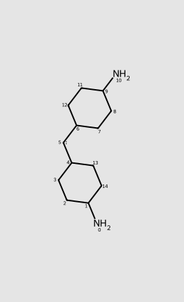 NC1CCC([C]C2CCC(N)CC2)CC1